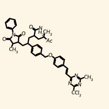 CC(=O)C(C)CC(CC(CC1C(=O)N(c2ccccc2)C(=O)C1C)c1ccc(COc2ccc(/C=C/c3nc(C)nc(C(Cl)(Cl)Cl)n3)cc2)cc1)C(N)=O